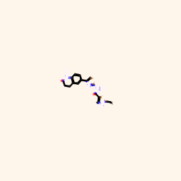 Cc1nc(C(C)C)sc1C(=O)Nc1nc(-c2ccc3c(c2)CCC(=O)N3)cs1